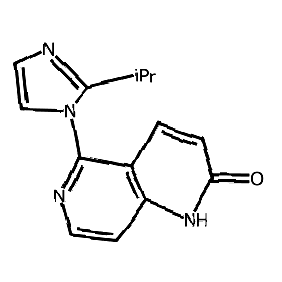 CC(C)c1nccn1-c1nccc2[nH]c(=O)ccc12